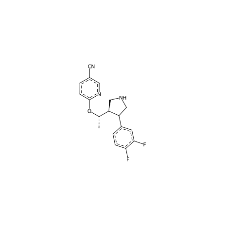 C[C@H](Oc1ccc(C#N)cn1)[C@H]1CNCC1c1ccc(F)c(F)c1